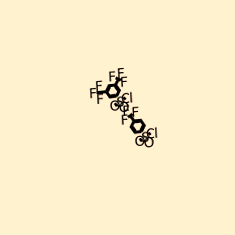 O=S(=O)(Cl)c1cc(C(F)(F)F)cc(C(F)(F)F)c1.O=S(=O)(Cl)c1ccc(C(F)(F)F)cc1